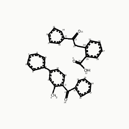 Cc1cc(-c2ccccc2)ccc1C(=O)c1ccccc1.O=C(Cc1ccccc1C(=O)O)c1ccccc1